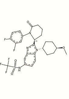 CO[C@H]1CC[C@H](n2c([C@@H]3CCCC(=O)N3c3ccc(F)c(F)c3)nc3cc(NS(=O)(=O)C(F)(F)F)ccc32)CC1